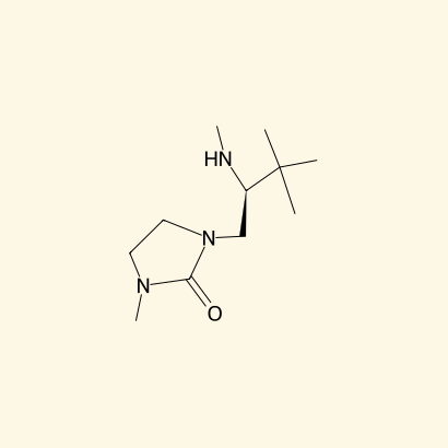 CN[C@H](CN1CCN(C)C1=O)C(C)(C)C